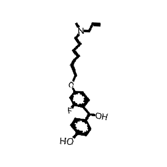 C=CCN(C)CCCCCCOc1ccc(C(O)c2ccc(O)cc2)c(F)c1